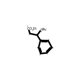 CCCCC(CC(=O)OCC)c1ccccc1